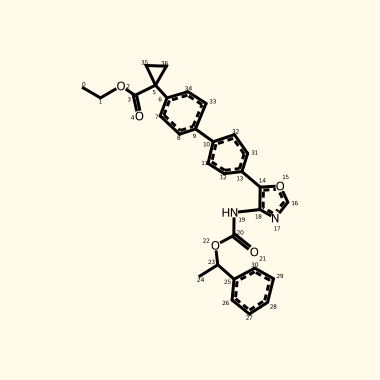 CCOC(=O)C1(c2ccc(-c3ccc(-c4ocnc4NC(=O)OC(C)c4ccccc4)cc3)cc2)CC1